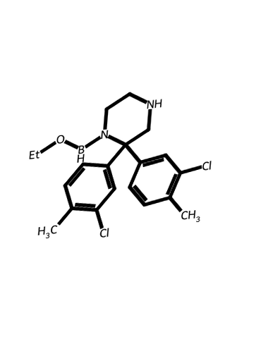 CCOBN1CCNCC1(c1ccc(C)c(Cl)c1)c1ccc(C)c(Cl)c1